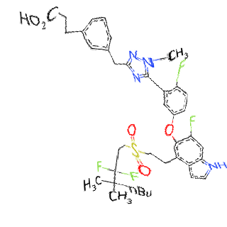 CCCCC(C)(C)C(F)(F)CS(=O)(=O)CCc1c(Oc2ccc(F)c(-c3nc(Cc4cccc(CCC(=O)O)c4)nn3C)c2)c(F)cc2[nH]ccc12